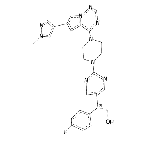 Cn1cc(-c2cc3c(N4CCN(c5ncc([C@H](CO)c6ccc(F)cc6)cn5)CC4)ncnn3c2)cn1